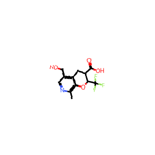 Cc1ncc(CO)c2c1OC(C(F)(F)F)C(C(=O)O)C2